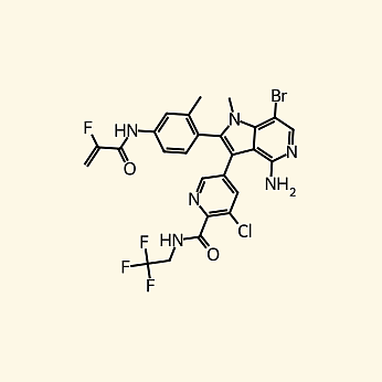 C=C(F)C(=O)Nc1ccc(-c2c(-c3cnc(C(=O)NCC(F)(F)F)c(Cl)c3)c3c(N)ncc(Br)c3n2C)c(C)c1